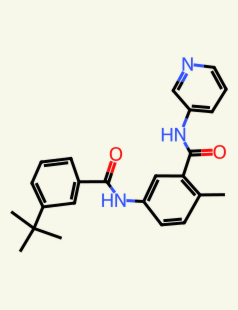 Cc1ccc(NC(=O)c2cccc(C(C)(C)C)c2)cc1C(=O)Nc1cccnc1